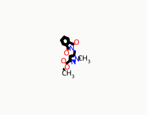 CCOC(=O)c1cc(CN2C(=O)c3ccccc3C2=O)n(C)n1